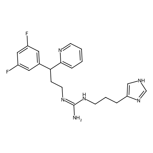 NC(=NCCC(c1cc(F)cc(F)c1)c1ccccn1)NCCCc1c[nH]cn1